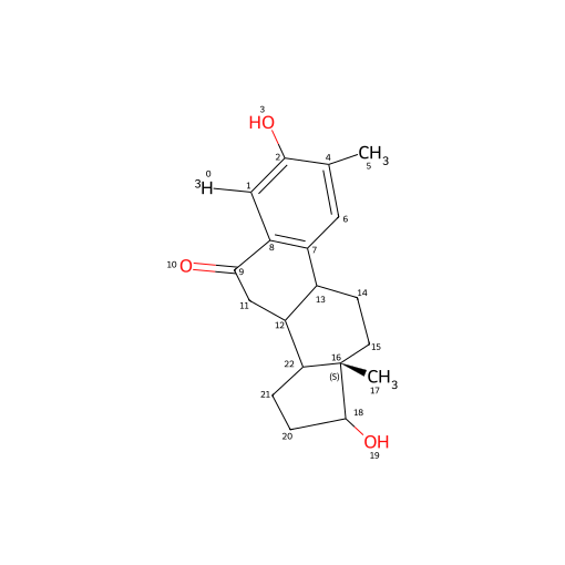 [3H]c1c(O)c(C)cc2c1C(=O)CC1C2CC[C@]2(C)C(O)CCC12